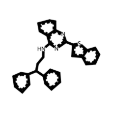 c1ccc(C(CCNc2nc(-c3cc4ccccc4s3)nc3ccccc23)c2ccccc2)cc1